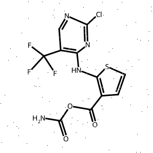 NC(=O)OC(=O)c1ccsc1Nc1nc(Cl)ncc1C(F)(F)F